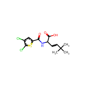 CC(C)(C)/C=C/C(NC(=O)c1cc(Cl)c(Cl)s1)C(=O)O